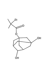 CCC(C)(C)C(=O)OC12CC3CC(O)(CC(C1)C3O)C2